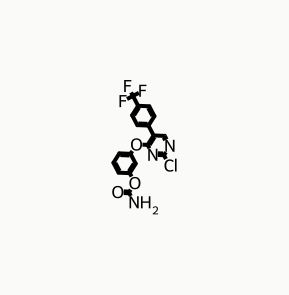 NC(=O)Oc1cccc(Oc2nc(Cl)ncc2-c2ccc(C(F)(F)F)cc2)c1